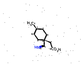 C[C@H]1CC[C@@](C=N)(CC(=O)O)CC1